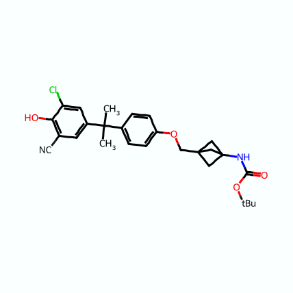 CC(C)(C)OC(=O)NC12CC(COc3ccc(C(C)(C)c4cc(Cl)c(O)c(C#N)c4)cc3)(C1)C2